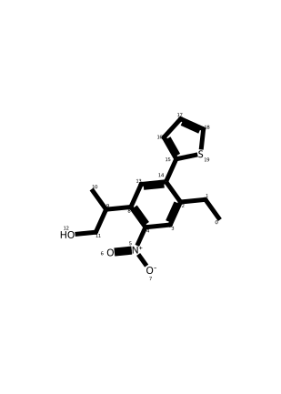 CCc1cc([N+](=O)[O-])c(C(C)CO)cc1-c1cccs1